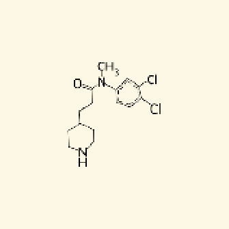 CN(C(=O)CCC1CCNCC1)c1ccc(Cl)c(Cl)c1